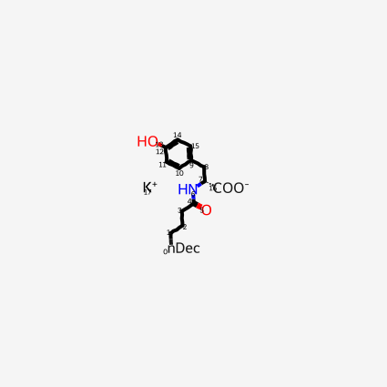 CCCCCCCCCCCCCC(=O)N[C@H](Cc1ccc(O)cc1)C(=O)[O-].[K+]